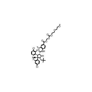 COCCOCCOC(=O)OCOC(=O)c1ccc(NC(=O)[C@@H]2N[C@@H](CC(C)(C)C)[C@](C#N)(c3ccc(Cl)cc3F)[C@H]2c2cccc(Cl)c2F)c(OC)c1